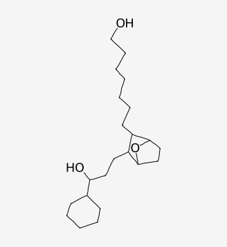 OCCCCCCCC1C2CCC(O2)C1CCC(O)C1CCCCC1